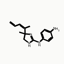 C=C/C=C(/C)C1(C)CNC(Nc2ccc(N)cc2)=N1